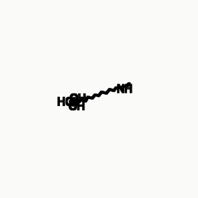 C=CCNCCCCCCCCCCCC[Si](O)(O)O